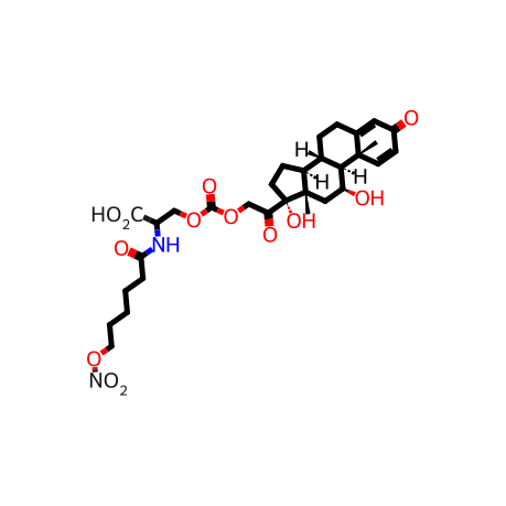 C[C@]12C=CC(=O)C=C1CC[C@@H]1[C@@H]2[C@@H](O)C[C@@]2(C)[C@H]1CC[C@]2(O)C(=O)COC(=O)OCC(NC(=O)CCCCCO[N+](=O)[O-])C(=O)O